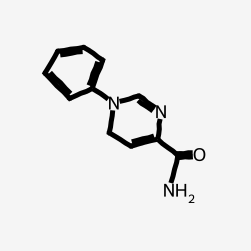 NC(=O)C1=CCN(c2ccccc2)C=N1